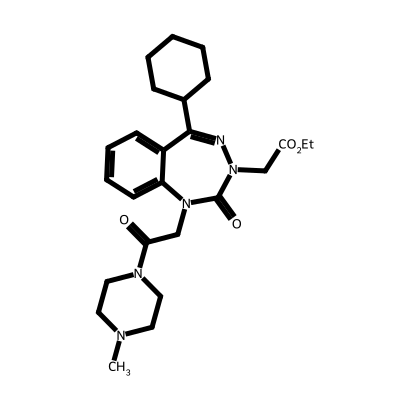 CCOC(=O)CN1N=C(C2CCCCC2)c2ccccc2N(CC(=O)N2CCN(C)CC2)C1=O